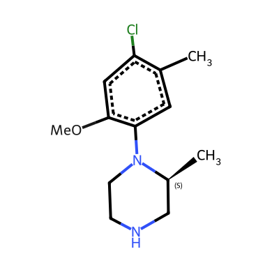 COc1cc(Cl)c(C)cc1N1CCNC[C@@H]1C